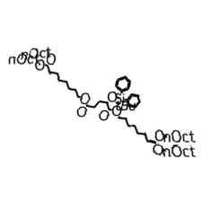 CCCCCCCCOC(CCCCCCCOC(=O)CCC(O[Si](c1ccccc1)(c1ccccc1)C(C)(C)C)C(=O)OCCCCCCCC(OCCCCCCCC)OCCCCCCCC)OCCCCCCCC